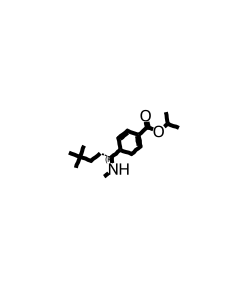 CN[C@H](CCC(C)(C)C)C1C=CC(C(=O)OC(C)C)=CC1